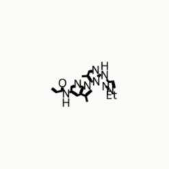 C=CC(=O)Nc1cnc2c(c1)c(C)cn2-c1nc(Nc2ccn(CC)n2)ncc1C